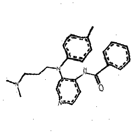 Cc1ccc(N(CCCN(C)C)c2cnccc2NC(=O)c2ccccc2)cc1